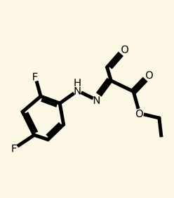 CCOC(=O)/C(C=O)=N/Nc1ccc(F)cc1F